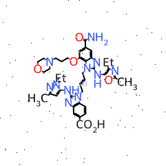 CCc1nc(C)oc1Nc1nc2cc(C(N)=O)cc(OCCCN3CCOCC3)c2n1C/C=C/Cn1c(Nc2cc(C)nn2CC)nc2cc(C(=O)O)ccc21